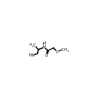 COCC(=O)NC(C)C[NH]